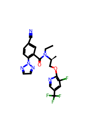 CCN(C(=O)c1cc(C#N)ccc1-n1nccn1)[C@@H](C)COc1ncc(C(F)(F)F)cc1F